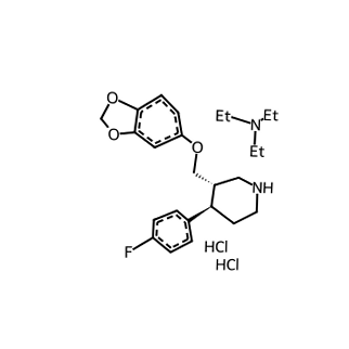 CCN(CC)CC.Cl.Cl.Fc1ccc([C@@H]2CCNC[C@H]2COc2ccc3c(c2)OCO3)cc1